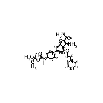 CC(C)(C)OC(=O)NC1CCN(c2cc(OCCN3CCOCC3)c3c(N)c(C(N)=O)sc3c2)CC1